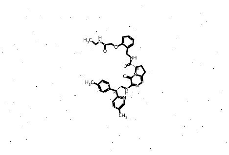 CCNC(=O)COc1ccccc1CNC(=O)[C@@H]1CCc2cnc(NC[C@@H](c3ccc(C)cc3)c3ccc(C)cn3)c(=O)n21